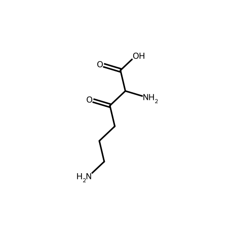 NCCCC(=O)C(N)C(=O)O